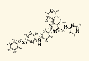 Cc1nccc(N2CCc3c(nc(-c4ccc(Nc5cccc(OCc6ccccc6)n5)cc4)nc3N3CCOC[C@@H]3C)C2)n1